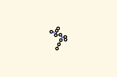 c1ccc(-c2ccc(-c3ccc(N(c4cccc(-c5cccc6c5c5cc7ccccc7cc5n6-c5ccccc5)c4)c4cccc5ccccc45)cc3)cc2)cc1